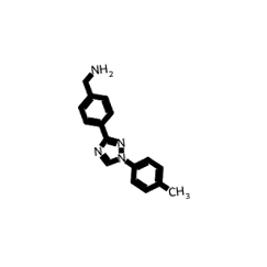 Cc1ccc(-n2cnc(-c3ccc(CN)cc3)n2)cc1